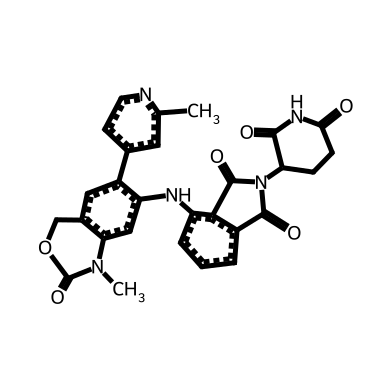 Cc1cc(-c2cc3c(cc2Nc2cccc4c2C(=O)N(C2CCC(=O)NC2=O)C4=O)N(C)C(=O)OC3)ccn1